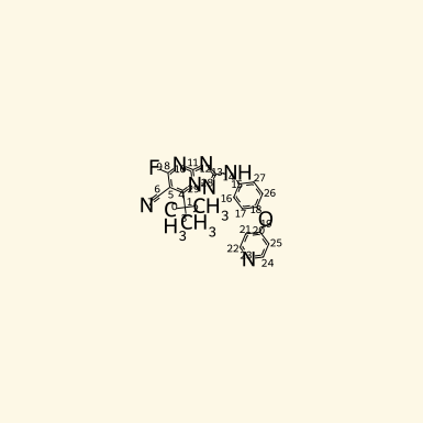 CC(C)(C)c1c(C#N)c(F)nc2nc(Nc3ccc(Oc4ccncc4)cc3)nn12